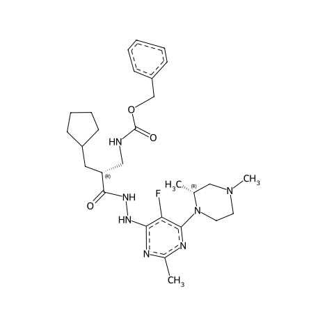 Cc1nc(NNC(=O)[C@@H](CNC(=O)OCc2ccccc2)CC2CCCC2)c(F)c(N2CCN(C)C[C@H]2C)n1